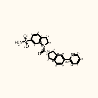 NS(=O)(=O)c1ccc2c(c1)N(C(=O)[C@H]1Cc3ccc(-c4ccccn4)cc3C1)CC2